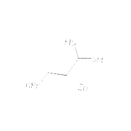 CCCCCC(S)S.[Zn]